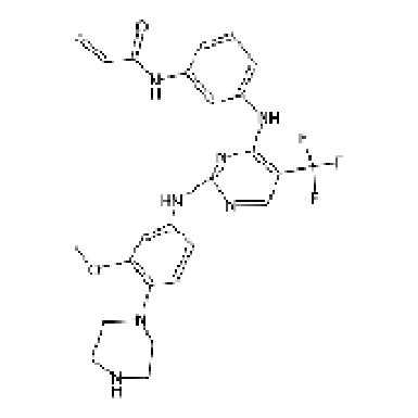 C=CC(=O)Nc1cccc(Nc2nc(Nc3ccc(N4CCNCC4)c(OC)c3)ncc2C(F)(F)F)c1